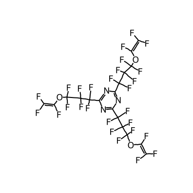 FC(F)=C(F)OC(F)(F)C(F)(F)C(F)(F)c1nc(C(F)(F)C(F)(F)C(F)(F)OC(F)=C(F)F)nc(C(F)(F)C(F)(F)C(F)(F)OC(F)=C(F)F)n1